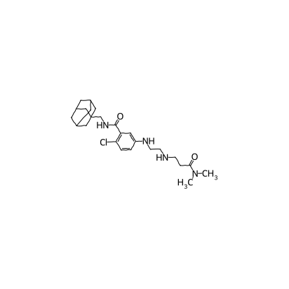 CN(C)C(=O)CCNCCNc1ccc(Cl)c(C(=O)NCC23CC4CC(CC(C4)C2)C3)c1